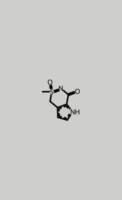 CS1(=O)=NC(=O)c2[nH]ccc2C1